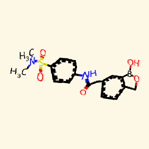 CN(C)S(=O)(=O)c1ccc(NC(=O)c2ccc3c(c2)B(O)OC3)cc1